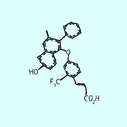 Cc1cc2cc(O)ccc2c(Oc2ccc(C=CC(=O)O)c(C(F)(F)F)c2)c1-c1ccccc1